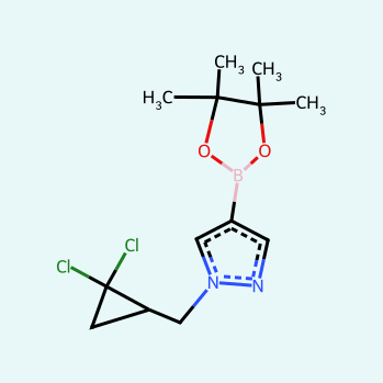 CC1(C)OB(c2cnn(CC3CC3(Cl)Cl)c2)OC1(C)C